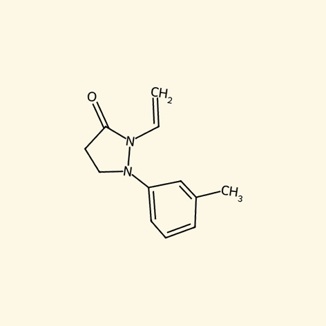 C=CN1C(=O)CCN1c1cccc(C)c1